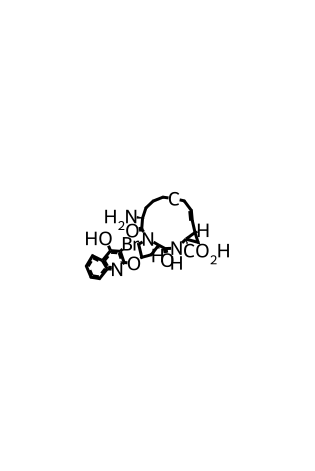 N[C@H]1CCCCC/C=C\[C@@H]2C[C@@]2(C(=O)O)NC(=O)[C@@H]2C[C@@H](Oc3nc4ccccc4c(O)c3Br)CN2C1=O